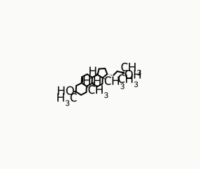 CC(C)(O)CC[C@H]1CC[C@H]2[C@@H]3CC=C4C[C@@](C)(O)CC[C@]4(C)[C@H]3CC[C@]12C